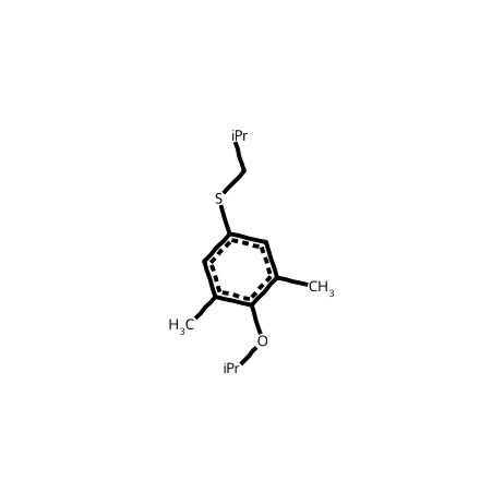 Cc1cc(SCC(C)C)cc(C)c1OC(C)C